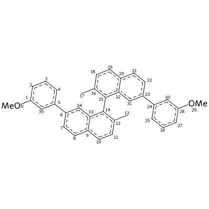 COc1cccc(-c2ccc3ccc(C)c(-c4c(C)ccc5ccc(-c6cccc(OC)c6)cc45)c3c2)c1